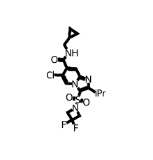 CC(C)c1nc2cc(C(=O)NCC3CC3)c(Cl)cn2c1S(=O)(=O)N1CC(F)(F)C1